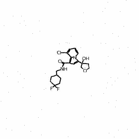 O=C(NCC1CCC(F)(F)CC1)c1cc(C2(O)CCOC2)n2cccc(Cl)c12